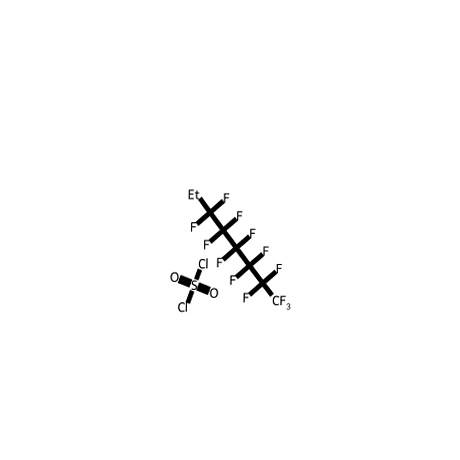 CCC(F)(F)C(F)(F)C(F)(F)C(F)(F)C(F)(F)C(F)(F)F.O=S(=O)(Cl)Cl